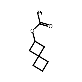 CC(C)C(=O)OC1CC2(CCC2)C1